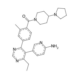 CCc1ncnc(-c2ccc(C(=O)N3CCC(N4CCCC4)CC3)c(C)c2)c1-c1ccc(N)nc1